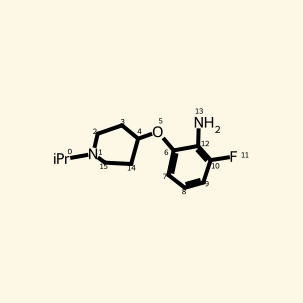 CC(C)N1CCC(Oc2cccc(F)c2N)CC1